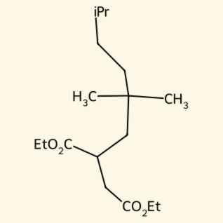 CCOC(=O)CC(CC(C)(C)CCC(C)C)C(=O)OCC